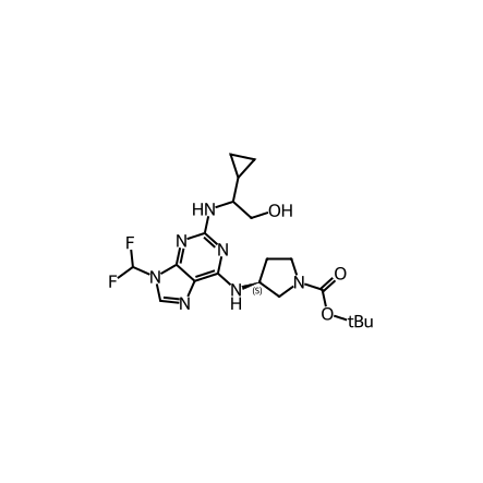 CC(C)(C)OC(=O)N1CC[C@H](Nc2nc(NC(CO)C3CC3)nc3c2ncn3C(F)F)C1